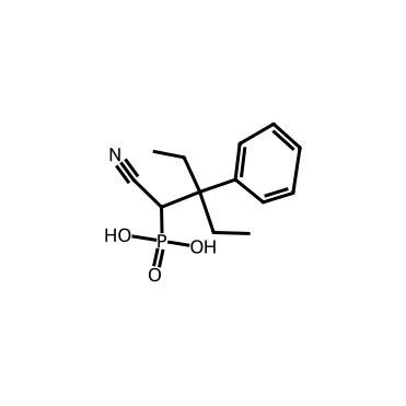 CCC(CC)(c1ccccc1)C(C#N)P(=O)(O)O